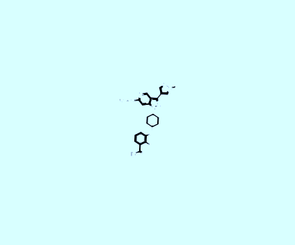 CCNC(=O)c1cccc(O[C@H]2CC[C@@H](n3nc(-c4cnn(C)c4)c4cnc(NC)cc43)CC2)c1F